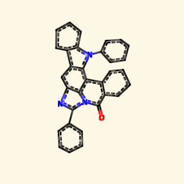 O=c1c2ccccc2c2c3c(cc4nc(-c5ccccc5)n1c42)c1ccccc1n3-c1ccccc1